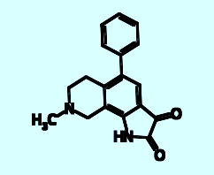 CN1CCc2c(-c3ccccc3)cc3c(c2C1)NC(=O)C3=O